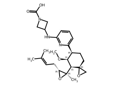 CO[C@H]1[C@@H](c2cccc(NC3CN(C(=O)O)C3)n2)CC[C@]2(CO2)[C@H]1[C@@]1(C)O[C@@H]1CC=C(C)C